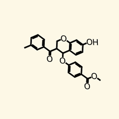 COC(=O)c1ccc(OC2c3ccc(O)cc3OCC2C(=O)c2cccc(C)c2)cc1